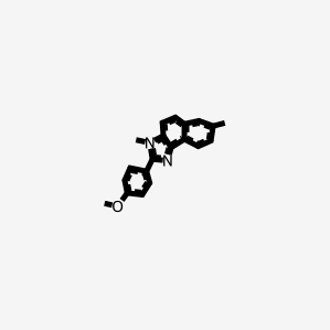 COc1ccc(-c2nc3c4ccc(C)cc4ccc3n2C)cc1